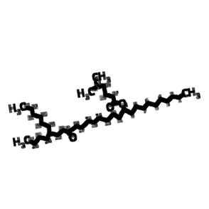 CCCCCCCCCCC(CCCCCCCCC(=O)CCC(CCCC)CCCCCC)OC(=O)CCCN(C)C